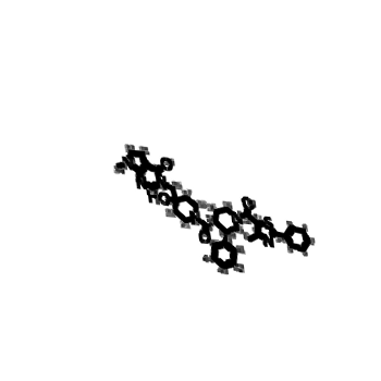 Cc1nc(-c2ccccc2)sc1C(=O)N1CC[C@@H](C(=O)N2CCC(O)(Cn3cnc4c(ccn4C)c3=O)CC2)[C@H](c2ccccc2)C1